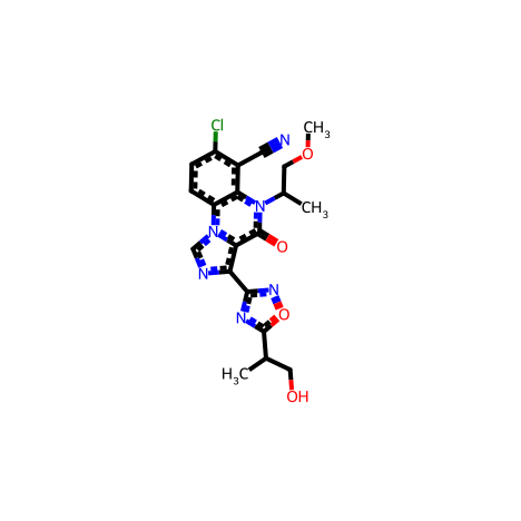 COCC(C)n1c(=O)c2c(-c3noc(C(C)CO)n3)ncn2c2ccc(Cl)c(C#N)c21